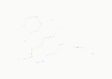 COCCOc1cc2ncc(C#N)c(Nc3cc(OC)ccc3C)c2cc1OC